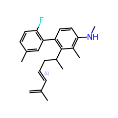 C=C(C)/C=C/CC(C)c1c(-c2cc(C)ccc2F)ccc(NC)c1C